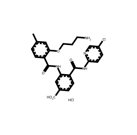 Cc1ccc(C(=O)Nc2cc(C(=O)O)ccc2C(=O)Nc2ccc(Cl)cn2)c(OCCCN)c1.Cl